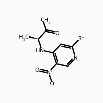 CC(=O)[C@H](C)Nc1cc(Br)ncc1[N+](=O)[O-]